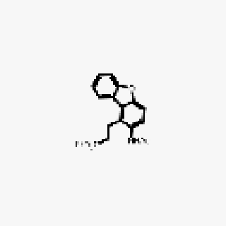 CCOC(=O)CCc1c(NC(C)=O)ccc2oc3ccccc3c12